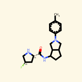 Cc1ccc(N2CC3CCC(NC(=O)[C@@H]4C[C@@H](F)CN4)C3C2)cc1